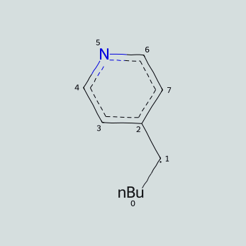 CC[CH]C[CH]c1ccncc1